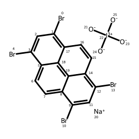 Brc1cc(Br)c2ccc3c(Br)cc(Br)c4ccc1c2c43.[Na+].[O-][I+3]([O-])([O-])[O-]